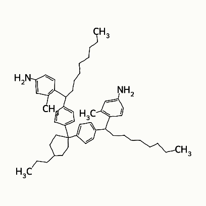 CCCCCCCCC(c1ccc(C2(c3ccc(C(CCCCCCCC)c4ccc(N)cc4C)cc3)CCC(CCC)CC2)cc1)c1ccc(N)cc1C